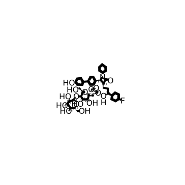 O=C1[C@H](CC[C@H](O)c2ccc(F)cc2)[C@@H](c2ccc(-c3ccc(O)cc3)cc2OS(=O)(=O)C[C@@H]2O[C@H](CO)C(O[C@@H]3O[C@H](CO)[C@@H](O)[C@H](O)[C@H]3O)[C@H](O)[C@H]2O)N1c1ccccc1